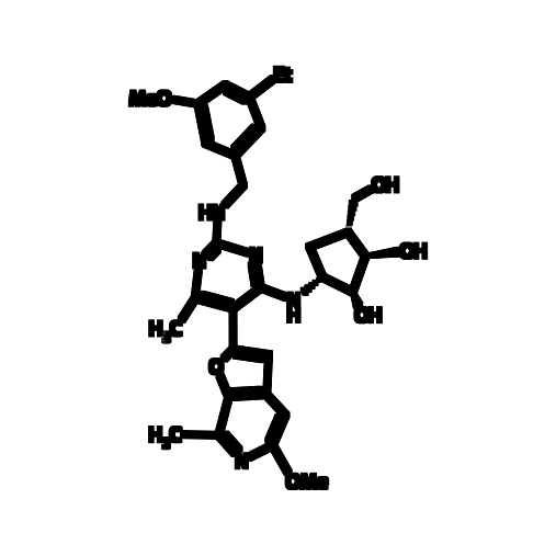 CCc1cc(CNc2nc(C)c(-c3cc4cc(OC)nc(C)c4o3)c(N[C@@H]3C[C@H](CO)[C@@H](O)[C@H]3O)n2)cc(OC)c1